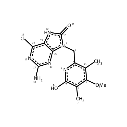 COc1c(C)c(O)nc(Cn2c(=O)[nH]c3c(Cl)nc(N)nc32)c1C